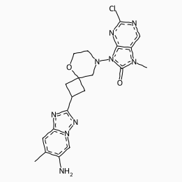 Cc1cc2nc(C3CC4(C3)CN(n3c(=O)n(C)c5cnc(Cl)nc53)CCO4)nn2cc1N